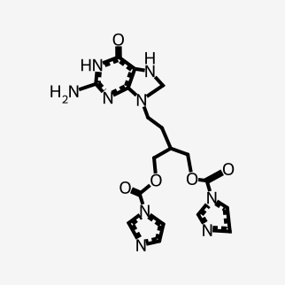 Nc1nc2c(c(=O)[nH]1)NCN2CCC(COC(=O)n1ccnc1)COC(=O)n1ccnc1